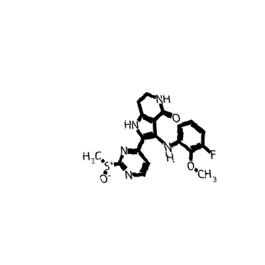 COc1c(F)cccc1Nc1c(-c2ccnc([S+](C)[O-])n2)[nH]c2c1C(=O)NCC2